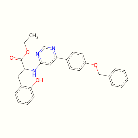 CCOC(=O)C(Cc1ccccc1O)Nc1cc(-c2ccc(OCc3ccccc3)cc2)ncn1